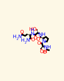 CC(=O)N[C@@H](CO)C(=O)N1CCC[C@H]1C(=O)N[C@@H](CO)C(=O)N[C@@H](CCC(N)=O)C(N)=O